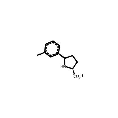 Cc1cccc(C2CC[C@@H](C(=O)O)N2)c1